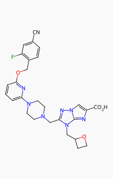 N#Cc1ccc(COc2cccc(N3CCN(Cc4nn5cc(C(=O)O)nc5n4CC4CCO4)CC3)n2)c(F)c1